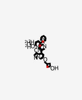 [2H]C([2H])([2H])Oc1ccc(CN2C3CC2CN(c2ccc(-c4cc(OCC56CC(O)(C5)C6)cn5ncc(C#N)c45)cn2)C3)cn1